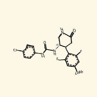 COc1cc(F)c(C2CC(=O)NC[C@H]2NC(=O)Nc2ccc(Cl)cc2)c(F)c1